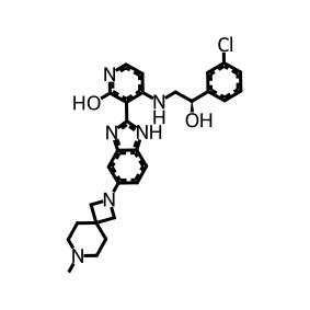 CN1CCC2(CC1)CN(c1ccc3[nH]c(-c4c(NC[C@H](O)c5cccc(Cl)c5)ccnc4O)nc3c1)C2